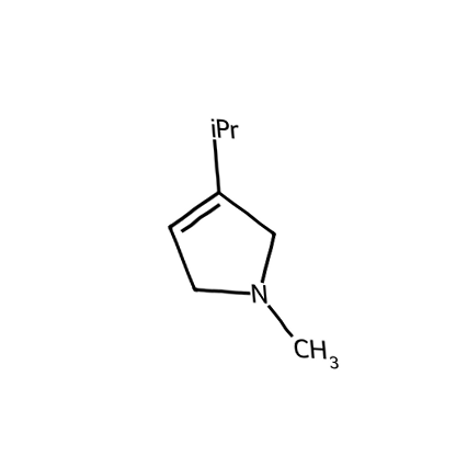 CC(C)C1=CCN(C)C1